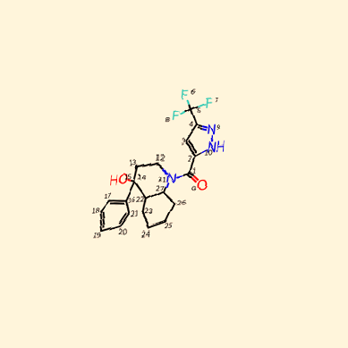 O=C(c1cc(C(F)(F)F)n[nH]1)N1CCC(O)(c2ccccc2)C2CCCCC21